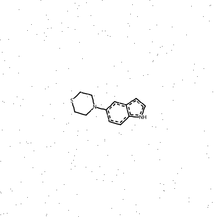 c1cc2cc(N3CCSCC3)ccc2[nH]1